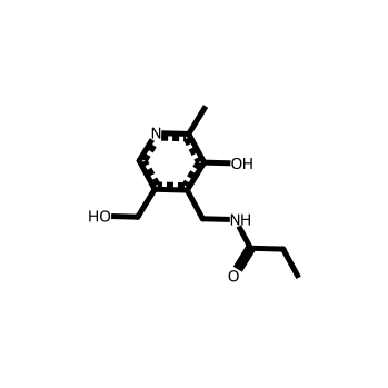 CCC(=O)NCc1c(CO)cnc(C)c1O